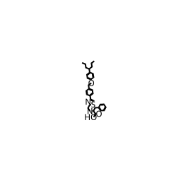 CCCC(CCC)c1ccc(OCc2ccc(-c3csc(CN(C)C(Cc4ccccc4)C(=O)O)n3)cc2)cc1